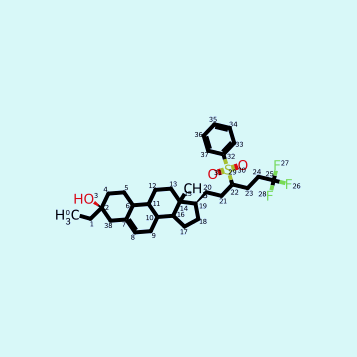 CC[C@]1(O)CCC2C(=CCC3C2CCC2(C)C3CC[C@@H]2CCC(CCC(F)(F)F)S(=O)(=O)c2ccccc2)C1